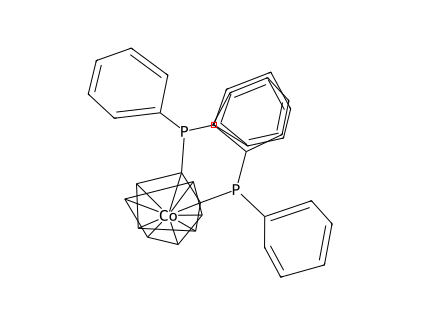 c1ccc(P(c2ccccc2)[C]23[CH]4[CH]5[CH]6[C]2(P(c2ccccc2)c2ccccc2)[Co]54632789[CH]3[CH]2[CH]7[CH]8[CH]39)cc1